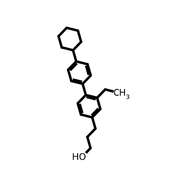 CCc1cc(CCCO)ccc1-c1ccc(C2CCCCC2)cc1